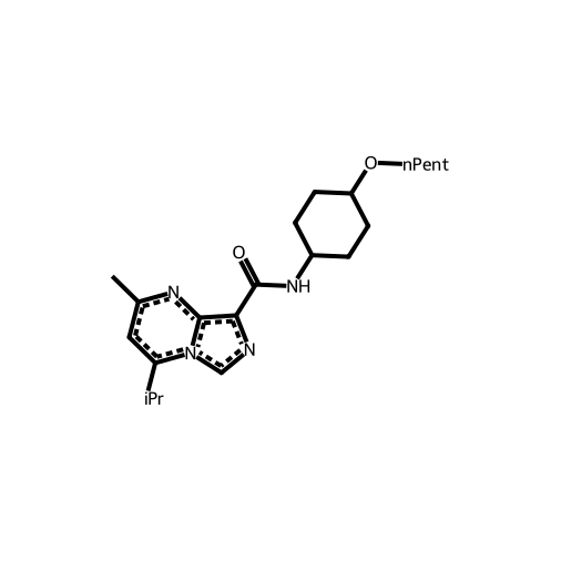 CCCCCOC1CCC(NC(=O)c2ncn3c(C(C)C)cc(C)nc23)CC1